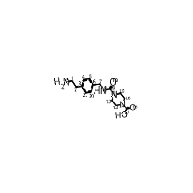 NCCc1ccc(CNC(=O)N2CCN(C(=O)O)CC2)cc1